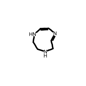 C1=C\NCCNC/C=N/1